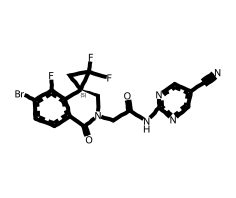 N#Cc1cnc(NC(=O)CN2C[C@]3(CC3(F)F)c3c(ccc(Br)c3F)C2=O)nc1